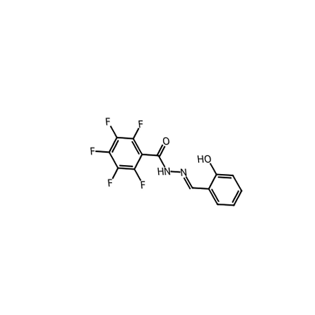 O=C(N/N=C/c1ccccc1O)c1c(F)c(F)c(F)c(F)c1F